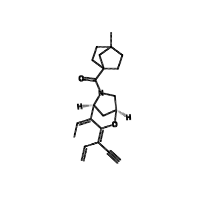 C#C/C(C=C)=C1\O[C@H]2C[C@@H](\C1=C\C)N(C(=O)C13CCC(C)(CC1)C3)C2